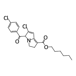 CCCCCCOC(=O)C1=C2C=C(Cl)C(C(=O)c3ccc(Cl)cc3)N2CC1